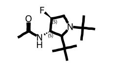 CC(=O)N[C@H]1C(C(C)(C)C)N(C(C)(C)C)C[C@@H]1F